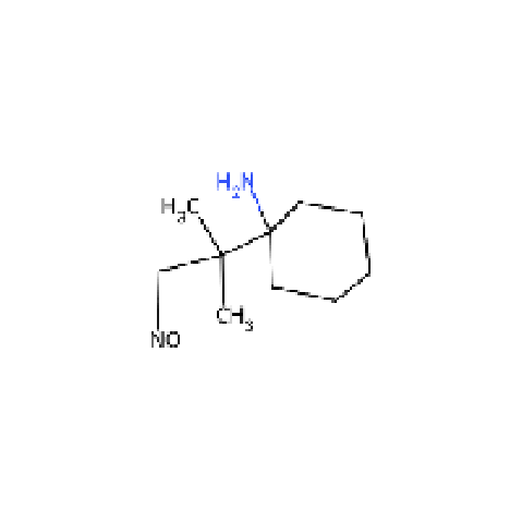 CC(C)(CN=O)C1(N)CCCCC1